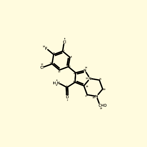 NC(=O)c1c(-c2cc(Cl)c(F)c(Cl)c2)nn2c1CN(C=O)CC2